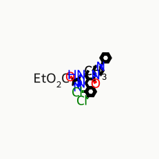 CCOC(=O)Oc1cnn2c1NC(C)=C(C(=O)N1CCN(c3ccccc3)CC1)C2c1cccc(Cl)c1Cl